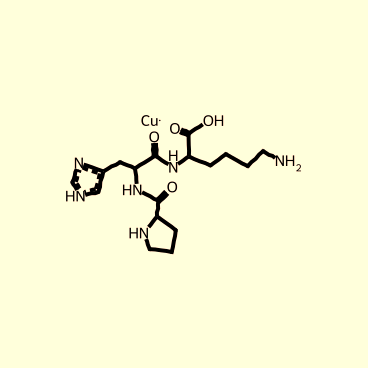 NCCCCC(NC(=O)C(Cc1c[nH]cn1)NC(=O)C1CCCN1)C(=O)O.[Cu]